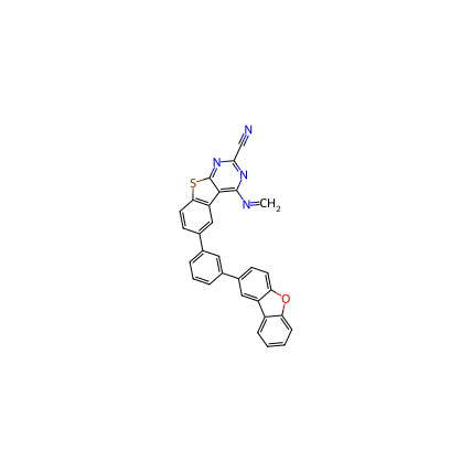 C=Nc1nc(C#N)nc2sc3ccc(-c4cccc(-c5ccc6oc7ccccc7c6c5)c4)cc3c12